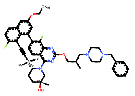 COCOc1cc(-c2ccc3c(N4CCC[C@@](C)(O)C4)nc(OCC(C)CN4CCN(Cc5ccccc5)CC4)nc3c2F)c2c(C#C[Si](C(C)C)(C(C)C)C(C)C)c(F)ccc2c1